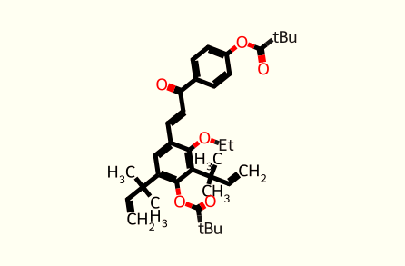 C=CC(C)(C)c1cc(/C=C/C(=O)c2ccc(OC(=O)C(C)(C)C)cc2)c(OCC)c(C(C)(C)C=C)c1OC(=O)C(C)(C)C